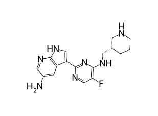 Nc1cnc2[nH]cc(-c3ncc(F)c(NC[C@H]4CCCNC4)n3)c2c1